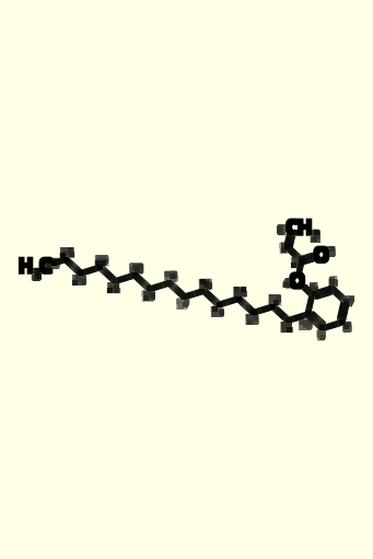 C=CC(=O)Oc1ccccc1CCCCCCCCCCCCCCC